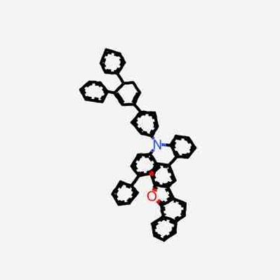 C1=C(c2ccc(N(c3ccc(-c4ccccc4)cc3)c3ccccc3-c3ccc4oc5c6ccccc6ccc5c4c3)cc2)C=C(c2ccccc2)C(c2ccccc2)C1